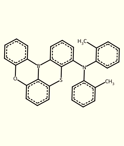 Cc1ccccc1N(c1ccccc1C)c1cccc2c1Sc1cccc3c1B2c1ccccc1O3